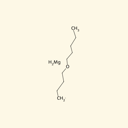 [CH2]CCCOCCCCC.[MgH2]